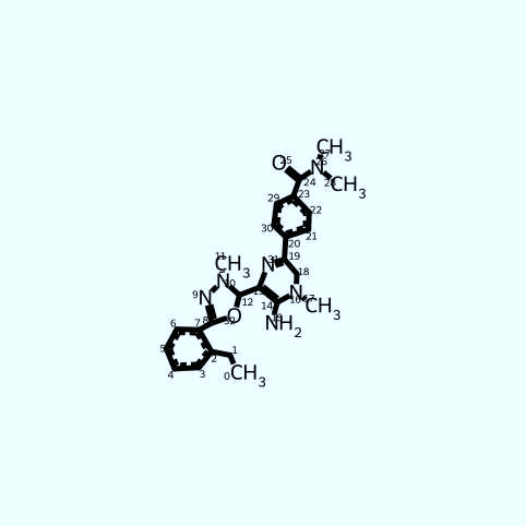 CCc1ccccc1C1=NN(C)C(C2=C(N)N(C)CC(c3ccc(C(=O)N(C)C)cc3)=N2)O1